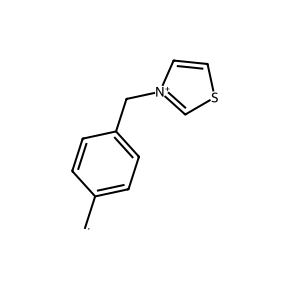 [CH2]c1ccc(C[n+]2ccsc2)cc1